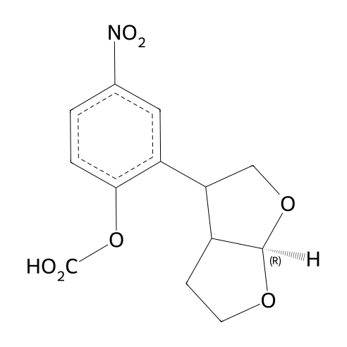 O=C(O)Oc1ccc([N+](=O)[O-])cc1C1CO[C@H]2OCCC12